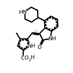 Cc1cc(C(=O)O)[nH]c1/C=C1\C(=O)Nc2cccc(C3CCNCC3)c21